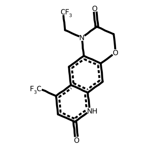 O=C1COc2cc3[nH]c(=O)cc(C(F)(F)F)c3cc2N1CC(F)(F)F